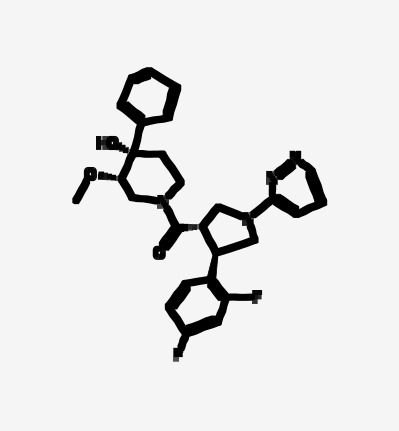 CO[C@H]1CN(C(=O)[C@@H]2CN(c3cccnn3)C[C@H]2c2ccc(F)cc2F)CC[C@]1(O)c1ccccc1